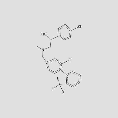 CN(Cc1ccc(-c2ccccc2C(F)(F)F)c(Cl)c1)CC(O)c1ccc(Cl)cc1